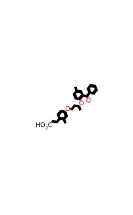 Cc1ccc(OC(C)CCOc2ccc(CCC(=O)O)c(C)c2)c(C(=O)c2ccccc2)c1